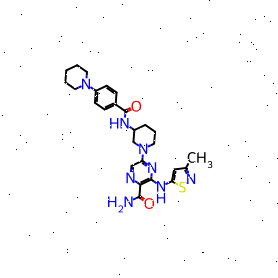 Cc1cc(Nc2nc(N3CCCC(NC(=O)c4ccc(N5CCCCC5)cc4)C3)cnc2C(N)=O)sn1